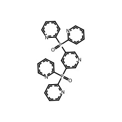 O=P(c1cncc(P(=O)(c2ccccn2)c2ccccn2)c1)(c1ccccn1)c1ccccn1